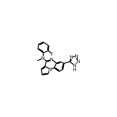 CN(c1ccccc1F)c1nc2cc(-c3nnn[nH]3)ccc2n2cccc12